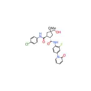 CO[C@]1(CO)C[C@H](C(=O)Nc2ccc(Cl)cc2)[C@@H](C(=O)Nc2ccc(-n3ccccc3=O)cc2F)C1